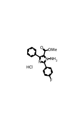 COC(=O)c1c(-c2ccccc2)nc(-c2ccc(F)cc2)n1N.Cl